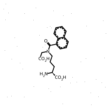 N[C@@H](CCCN(CC(=O)O)C(=O)c1cccc2ccccc12)C(=O)O